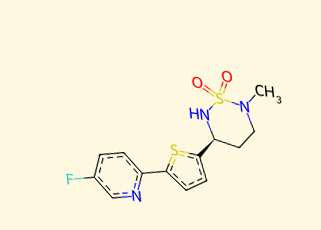 CN1CC[C@@H](c2ccc(-c3ccc(F)cn3)s2)NS1(=O)=O